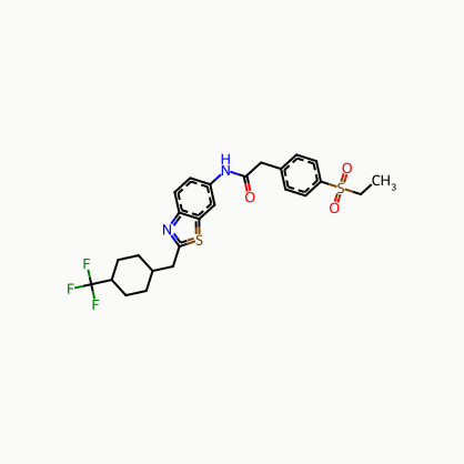 CCS(=O)(=O)c1ccc(CC(=O)Nc2ccc3nc(CC4CCC(C(F)(F)F)CC4)sc3c2)cc1